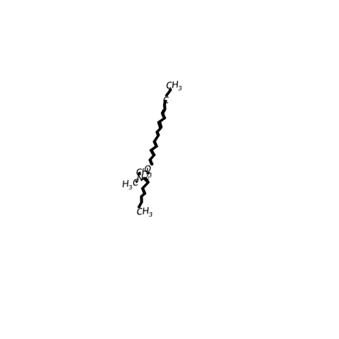 CCCCCC=CCC=CCCCCCCCCOC[C@H](CCCCCCC)N(C)C